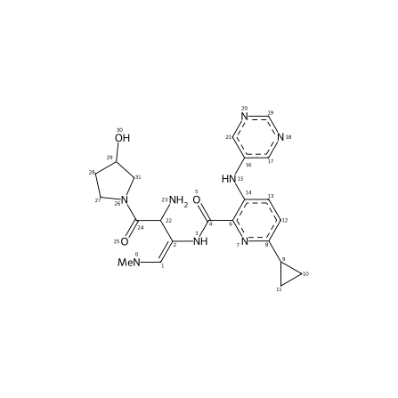 CN/C=C(/NC(=O)c1nc(C2CC2)ccc1Nc1cncnc1)C(N)C(=O)N1CCC(O)C1